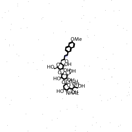 COc1ccc2cc(/C=C/C(=O)C[C@@H]3O[C@H](CO)[C@@H](O[C@@H]4O[C@H](CO)[C@H](O)[C@H](O[C@]5(C(=O)O)C[C@H](O)[C@@H](NC(C)=O)[C@H]([C@H](O)[C@H](O)CO)O5)[C@H]4O)[C@H](O)[C@H]3O)ccc2c1